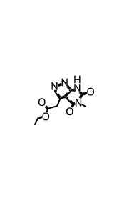 CCOC(=O)Cc1cnnc2[nH]c(=O)n(C)c(=O)c12